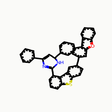 C1=C(c2ccccc2)N=C(c2cccc3sc4ccc(-c5ccc6c(c5)oc5ccccc56)cc4c23)NC1c1ccccc1